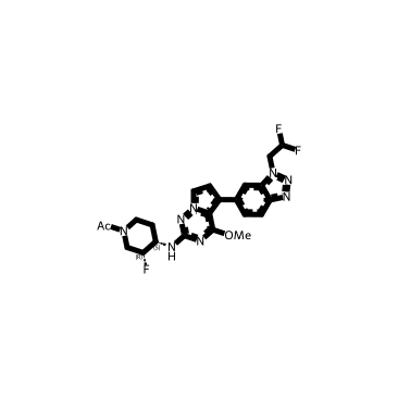 COc1nc(N[C@H]2CCN(C(C)=O)C[C@H]2F)nn2ccc(-c3ccc4nnn(CC(F)F)c4c3)c12